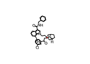 CCc1cccc2c(C(=O)NCc3ccccc3)cn(CCCN3C4CC[C@@H]3CN(CC(=O)c3cccc(Cl)c3)C4)c12